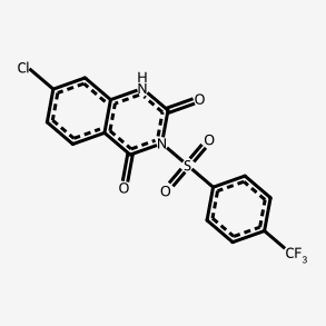 O=c1[nH]c2cc(Cl)ccc2c(=O)n1S(=O)(=O)c1ccc(C(F)(F)F)cc1